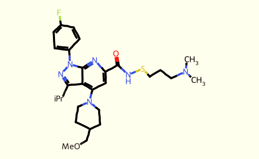 COCC1CCN(c2cc(C(=O)NSCCCN(C)C)nc3c2c(C(C)C)nn3-c2ccc(F)cc2)CC1